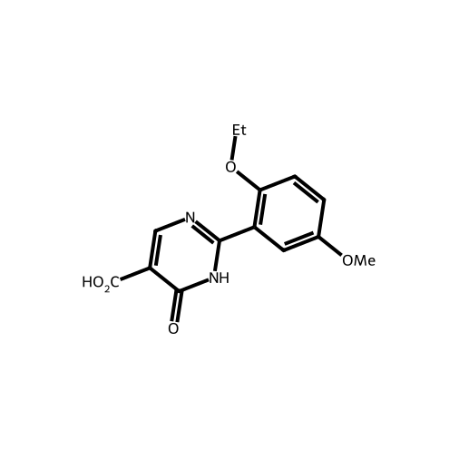 CCOc1ccc(OC)cc1-c1ncc(C(=O)O)c(=O)[nH]1